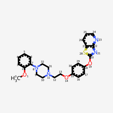 COc1ccccc1N1CCN(CCOc2ccc(Oc3nc4ncccc4s3)cc2)CC1